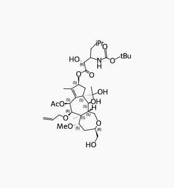 C=CCO[C@H]1[C@@H](OC(C)=O)C2=C(C)[C@@H](OC(=O)[C@H](O)C(CC(C)C)NC(=O)OC(C)(C)C)C[C@@]2(C(C)(C)O)[C@@H](O)[C@@H]2CO[C@@H](CO)C[C@H](OC)[C@]21C